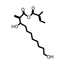 C=C(C(=O)OC(=O)C(C)=CC)C(O)CCCCCCCCO